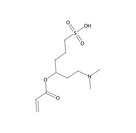 C=CC(=O)OC(CCCS(=O)(=O)O)CCN(C)C